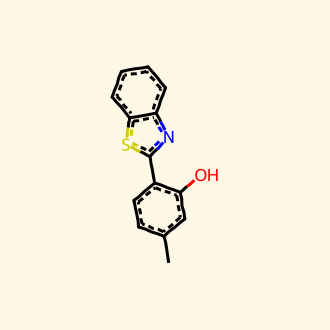 Cc1ccc(-c2nc3ccccc3s2)c(O)c1